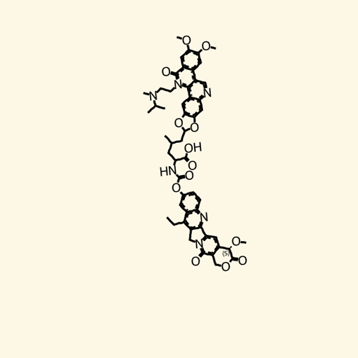 CCc1c2c(nc3ccc(OC(=O)NC(CC(C)CC4Oc5cc6ncc7c8cc(OC)c(OC)cc8c(=O)n(CCN(C)C(C)C)c7c6cc5O4)C(=O)O)cc13)-c1cc3c(c(=O)n1C2)COC(=O)[C@H]3OC